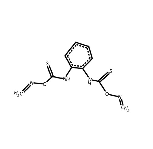 C=NOC(=S)Nc1ccccc1NC(=S)ON=C